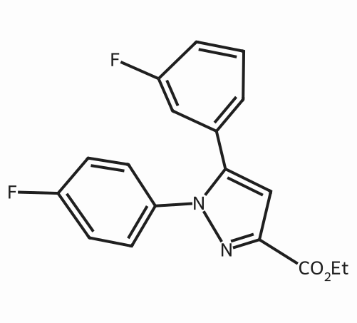 CCOC(=O)c1cc(-c2cccc(F)c2)n(-c2ccc(F)cc2)n1